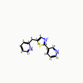 c1ccc(Cc2cnc(-c3cccnc3)s2)nc1